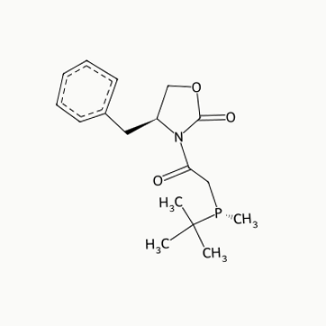 C[P@@](CC(=O)N1C(=O)OC[C@@H]1Cc1ccccc1)C(C)(C)C